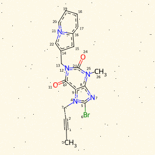 CC#CCn1c(Br)nc2c1c(=O)n(Cc1cc3ccccn3c1)c(=O)n2C